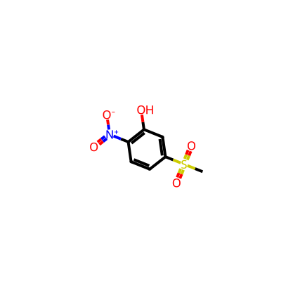 CS(=O)(=O)c1ccc([N+](=O)[O-])c(O)c1